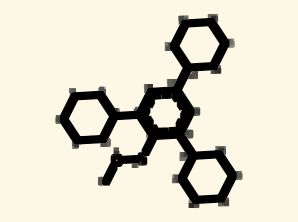 COSc1c(C2CCCCC2)cc(C2CCCCC2)cc1C1CCCCC1